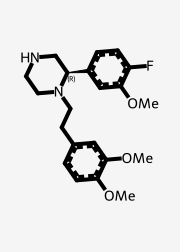 COc1cc([C@@H]2CNCCN2CCc2ccc(OC)c(OC)c2)ccc1F